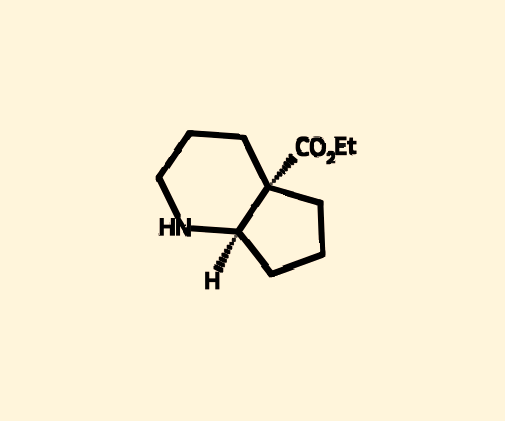 CCOC(=O)[C@@]12CCCN[C@@H]1CCC2